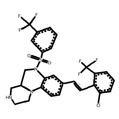 O=S(=O)(c1cccc(C(F)(F)F)c1)N1CC2CNCCN2c2ccc(/C=C/c3c(Cl)cccc3C(F)(F)F)cc21